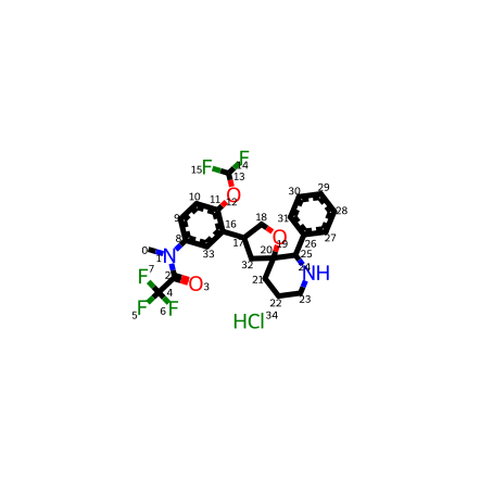 CN(C(=O)C(F)(F)F)c1ccc(OC(F)F)c(C2COC3(CCCNC3c3ccccc3)C2)c1.Cl